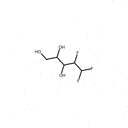 OCC(O)C(O)C(F)C(F)F